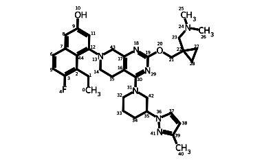 CCc1c(F)ccc2cc(O)cc(N3CCc4c(nc(OCC5(CN(C)C)CC5)nc4N4CCCC(n5ccc(C)n5)C4)C3)c12